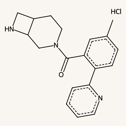 Cc1ccc(-c2ccccn2)c(C(=O)N2CCC3CNC3C2)c1.Cl